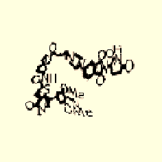 COc1cc(-c2cn(C)c(=O)c3cc(C(=O)NC4CCC5(CCN(C(=O)CCN6CCN(c7ccc8c(c7)C(=O)N(C7CCC(=O)NC7=O)C8=O)CC6)C5)C4)sc23)cc(OC)c1CN(C)C